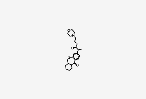 CC(C(=O)OCCN1CCOCC1)c1ccc2c(c1)SCC1CCCCC1C2=O